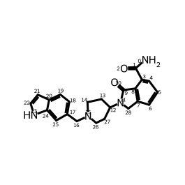 NC(=O)c1cccc2c1C(=O)N(C1CCN(Cc3ccc4cc[nH]c4c3)CC1)C2